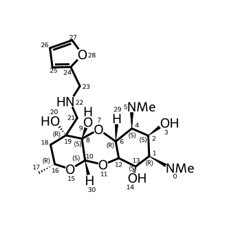 CN[C@@H]1[C@H](O)[C@H](NC)[C@H]2O[C@]3(O)[C@H](OC2[C@H]1O)O[C@H](C)C[C@@]3(O)CNCc1ccco1